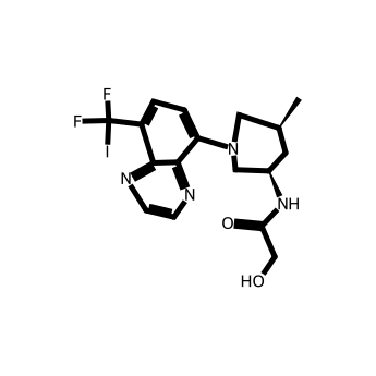 C[C@H]1C[C@@H](NC(=O)CO)CN(c2ccc(C(F)(F)I)c3nccnc23)C1